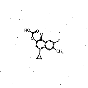 Cc1cc2c(cc1F)c(=O)c(OC(=O)O)cn2C1CC1